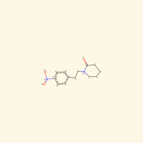 O=C1CCCCN1CCc1ccc([N+](=O)[O-])cc1